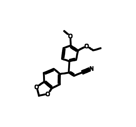 CCOc1cc(C(=CC#N)c2ccc3c(c2)OCO3)ccc1OC